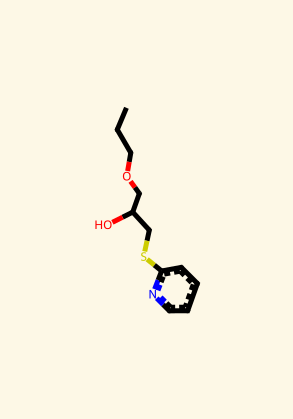 CCCOCC(O)CSc1ccccn1